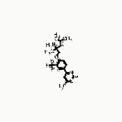 Cc1cc(-c2ccc(OCC(C)(N)CC(C)C)c(C(F)(F)F)c2)ncn1